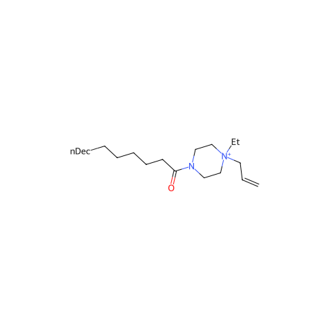 C=CC[N+]1(CC)CCN(C(=O)CCCCCCCCCCCCCCC)CC1